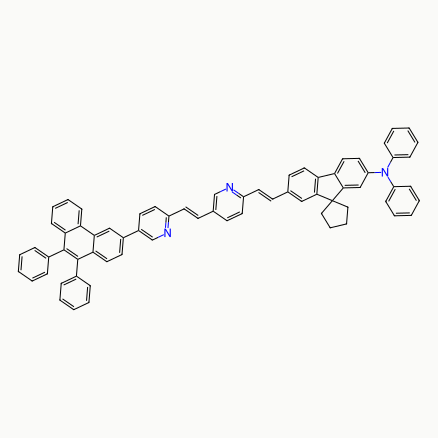 C(=C\c1ccc(-c2ccc3c(-c4ccccc4)c(-c4ccccc4)c4ccccc4c3c2)cn1)/c1ccc(/C=C/c2ccc3c(c2)C2(CCCC2)c2cc(N(c4ccccc4)c4ccccc4)ccc2-3)nc1